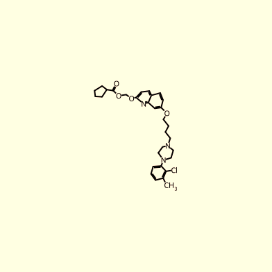 Cc1cccc(N2CCN(CCCCOc3ccc4ccc(OCOC(=O)C5CCCC5)nc4c3)CC2)c1Cl